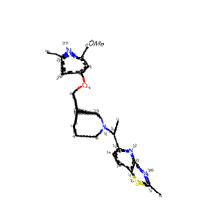 COc1cc(OCC2CCCN(C(C)c3ccc4sc(C)nc4n3)C2)cc(C)n1